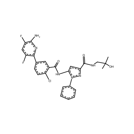 CC(C)(O)CNC(=O)c1cc(NC(=O)c2cc(-c3nc(N)c(F)cc3F)ccc2Cl)n(-c2ccccc2)n1